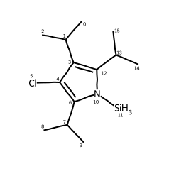 CC(C)c1c(Cl)c(C(C)C)n([SiH3])c1C(C)C